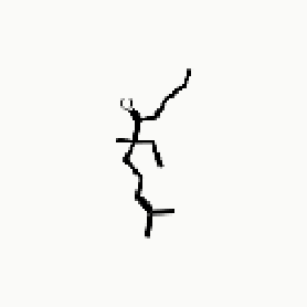 CCCCC(=O)C(C)(CC)CCC=C(C)C